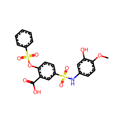 COc1ccc(NS(=O)(=O)c2ccc(OS(=O)(=O)c3ccccc3)c(C(=O)O)c2)cc1O